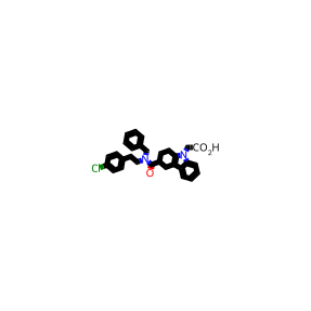 O=C(O)Cn1c2c(c3ccccc31)CC(C(=O)N(CCc1ccc(Cl)cc1)Cc1ccccc1)CC2